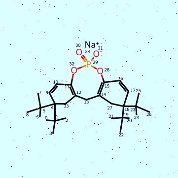 CC(C)(C)C1(C(C)(C)C)C=CC2=C(CC3=C(C=CC(C(C)(C)C)(C(C)(C)C)C3)OP(=O)([O-])O2)C1.[Na+]